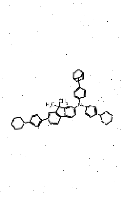 CC1(C)c2cc(-c3ccc(C4CCCCC4)cc3)ccc2-c2ccc(N(c3ccc(C4CCCCC4)cc3)c3ccc(C4CC5CCC4CC5)cc3)cc21